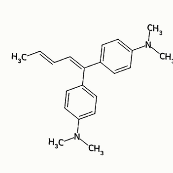 C/C=C/C=C(c1ccc(N(C)C)cc1)c1ccc(N(C)C)cc1